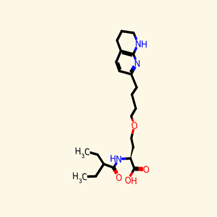 CCC(CC)C(=O)N[C@@H](CCOCCCCc1ccc2c(n1)NCCC2)C(=O)O